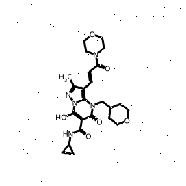 Cc1nn2c(O)c(C(=O)NC3CC3)c(=O)n(CC3CCOCC3)c2c1/C=C/C(=O)N1CCOCC1